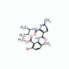 CCC(C)NC(=O)c1nc(C)ccc1C(=O)Nc1c(C)ccc(Br)c1C(=O)OC